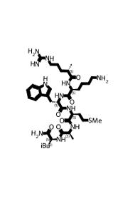 CC[C@H](C)[C@H](NC(=O)[C@H](C)NC(=O)[C@H](CCSC)NC(=O)[C@H](Cc1c[nH]c2ccccc12)NC(=O)[C@H](CCCCN)NC(=O)[C@@H](C)CCCNC(=N)N)C(N)=O